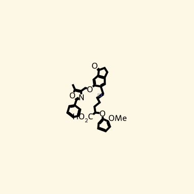 COc1ccccc1OC(CC/C=C/c1cc2c(cc1OCc1nc(-c3ccccc3)oc1C)C(=O)CC2)C(=O)O